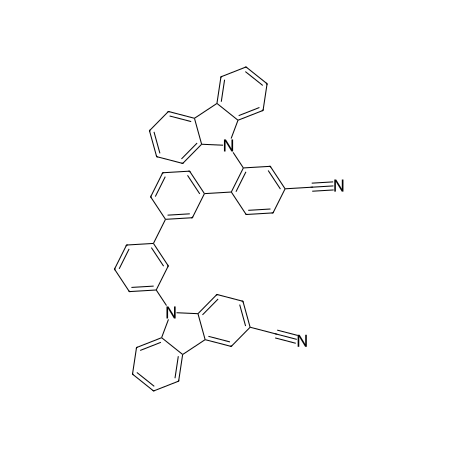 N#Cc1ccc(-c2cccc(-c3cccc(-n4c5ccccc5c5cc(C#N)ccc54)c3)c2)c(-n2c3ccccc3c3ccccc32)c1